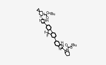 CC(C)(C)OC(=O)N1C2CCC(C2)C1c1nc2ccc(-c3ccc4c(c3)C(F)(F)c3cc(-c5cnc([C@@H]6CC7(CC7)CN6C(=O)OC(C)(C)C)[nH]5)ccc3-4)cc2[nH]1